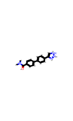 CN(C)C(=O)c1ccc(-c2ccc(-c3c[nH]nn3)cc2)cc1